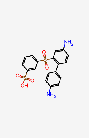 Nc1ccc(-c2ccc(N)cc2S(=O)(=O)c2cccc(S(=O)(=O)O)c2)cc1